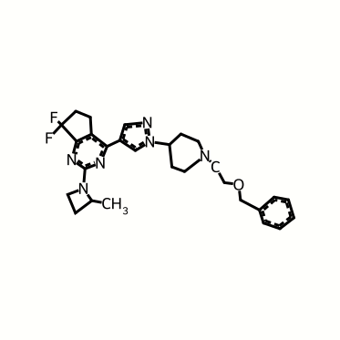 CC1CCN1c1nc(-c2cnn(C3CCN(CCOCc4ccccc4)CC3)c2)c2c(n1)C(F)(F)CC2